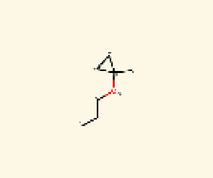 CCCOC1(C)CC1